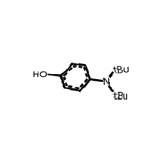 CC(C)(C)N(c1ccc(O)cc1)C(C)(C)C